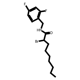 CCCCCCCC(Br)C(=O)NCc1ccc(F)cc1F